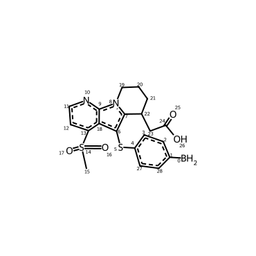 Bc1ccc(Sc2c3n(c4nccc(S(C)(=O)=O)c24)CCCC3CC(=O)O)cc1